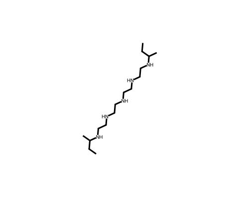 CCC(C)NCCNCCNCCNCCNC(C)CC